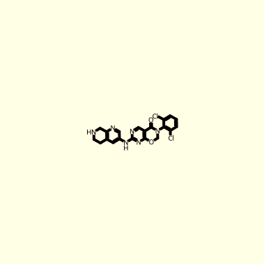 O=C1c2cnc(Nc3cnc4c(c3)CCNC4)nc2OCN1c1c(Cl)cccc1Cl